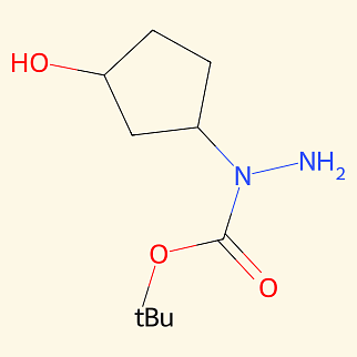 CC(C)(C)OC(=O)N(N)C1CCC(O)C1